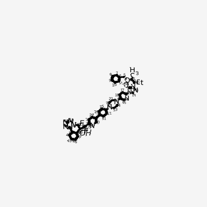 CC[C@@H]([C@H](C)OCc1ccccc1)n1ncn(-c2ccc(N3CCN(c4ccc(-c5ccc(C(F)(F)C6(O)Cn7nnnc7-c7ccccc76)nc5)cc4)CC3)cn2)c1=O